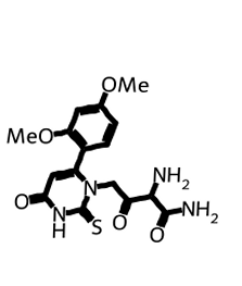 COc1ccc(-c2cc(=O)[nH]c(=S)n2CC(=O)C(N)C(N)=O)c(OC)c1